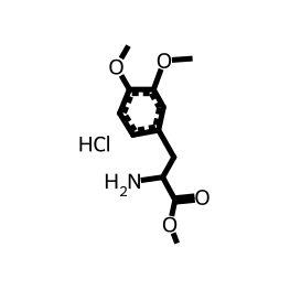 COC(=O)C(N)Cc1ccc(OC)c(OC)c1.Cl